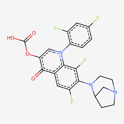 O=C(O)Oc1cn(-c2ccc(F)cc2F)c2c(F)c(N3CCN4CCC3C4)c(F)cc2c1=O